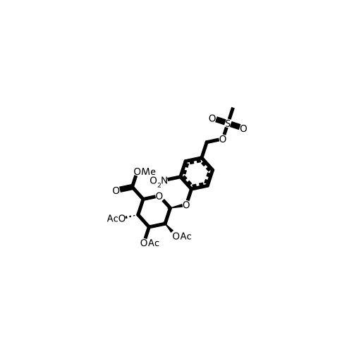 COC(=O)C1O[C@@H](Oc2ccc(COS(C)(=O)=O)cc2[N+](=O)[O-])[C@@H](OC(C)=O)C(OC(C)=O)[C@@H]1OC(C)=O